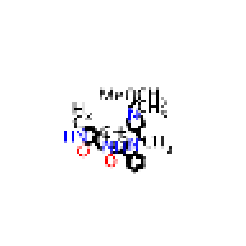 COC(C)(C)CN1CCC([C@@H](C)n2c(C)c(C(=O)NCc3c(C)cc(C)[nH]c3=O)c3ccccc32)CC1